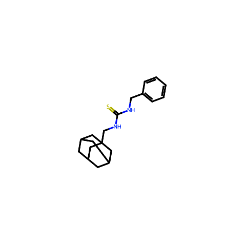 S=C(NCc1ccccc1)NCC12CC3CC(CC(C3)C1)C2